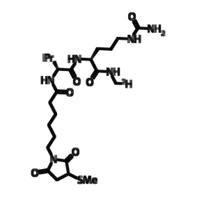 [2H]CNC(=O)[C@H](CCCNC(N)=O)NC(=O)[C@@H](NC(=O)CCCCCN1C(=O)CC(SC)C1=O)C(C)C